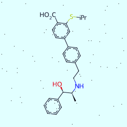 CC(C)Sc1cc(-c2ccc(CCN[C@@H](C)[C@H](O)c3ccccc3)cc2)ccc1C(=O)O